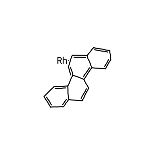 [Rh].c1ccc2c(c1)ccc1c3ccccc3ccc21